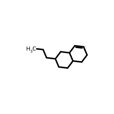 CCCC1CCC2CC[C]=CC2C1